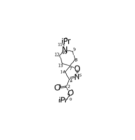 CC(C)OC(=O)C1=NOC2(CCN(C(C)C)CC2)C1